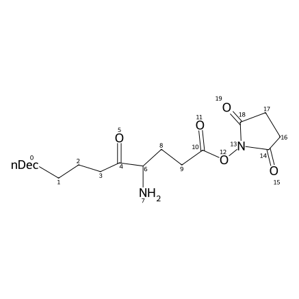 CCCCCCCCCCCCCC(=O)C(N)CCC(=O)ON1C(=O)CCC1=O